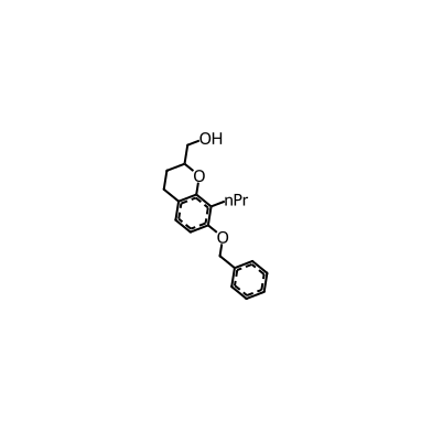 CCCc1c(OCc2ccccc2)ccc2c1OC(CO)CC2